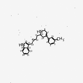 Cc1cccc(C2=CCNC(CCSCc3c[nH]c4ccccc34)C2)c1